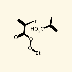 C=C(C)C(=O)O.C=C(CC)C(=O)OOCC